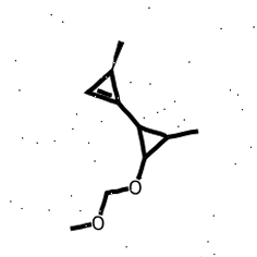 COCOC1C(C)C1C1=C[C@H]1C